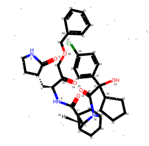 O=C1NCC[C@H]1C[C@H](NC(=O)[C@H]1C2CCC(CC2)N1C(=O)C(O)(c1ccc(Cl)cc1)C1CCCC1)C(=O)COCc1ccccc1